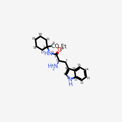 CCOC(=O)C1(NC(=O)[C@H](N)Cc2c[nH]c3ccccc23)CCCCC1